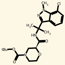 Cn1nc(C(C)(C)NC(=O)[C@@H]2CN(C(=O)OC(C)(C)C)CCO2)c2cccc(Cl)c21